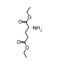 CCOC(=O)CC[C@@H](N)C(=O)OCC